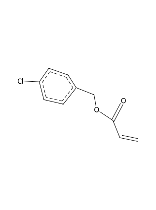 C=CC(=O)OCc1ccc(Cl)cc1